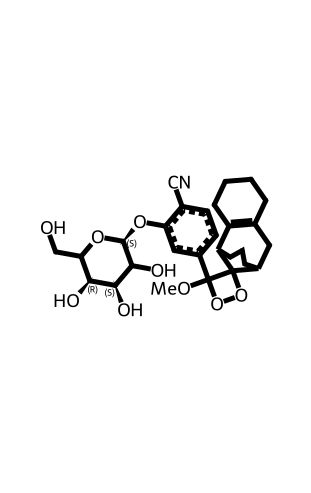 COC1(c2ccc(C#N)c(O[C@@H]3OC(CO)[C@H](O)[C@H](O)C3O)c2)OOC12C1CCCC2C2=C(CCCC2)C1